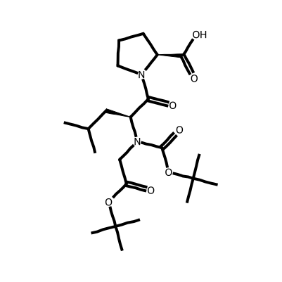 CC(C)C[C@@H](C(=O)N1CCC[C@H]1C(=O)O)N(CC(=O)OC(C)(C)C)C(=O)OC(C)(C)C